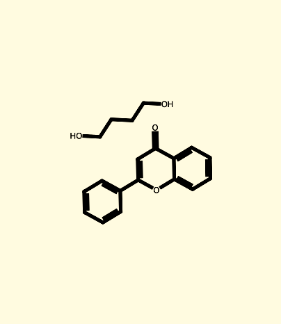 O=c1cc(-c2ccccc2)oc2ccccc12.OCCCCO